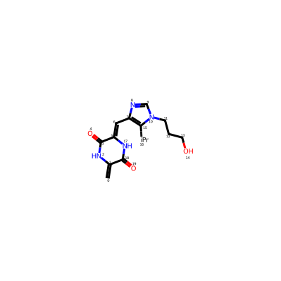 C=c1[nH]c(=O)c(=Cc2ncn(CCCO)c2C(C)C)[nH]c1=O